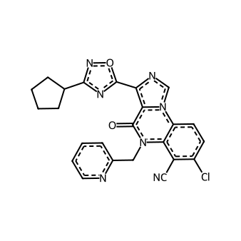 N#Cc1c(Cl)ccc2c1n(Cc1ccccn1)c(=O)c1c(-c3nc(C4CCCC4)no3)ncn12